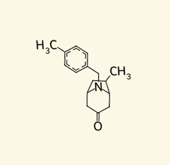 Cc1ccc(CN2C3CC(=O)CC2C(C)C3)cc1